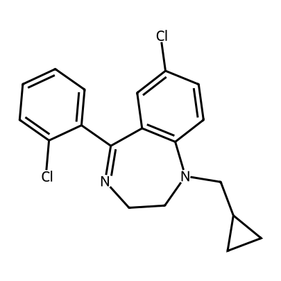 Clc1ccc2c(c1)C(c1ccccc1Cl)=NCCN2CC1CC1